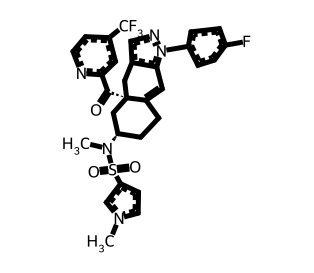 CN([C@H]1CCC2=Cc3c(cnn3-c3ccc(F)cc3)C[C@]2(C(=O)c2cc(C(F)(F)F)ccn2)C1)S(=O)(=O)c1ccn(C)c1